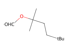 CC(C)(C)CCC(C)(C)O[C]=O